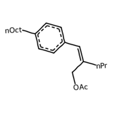 CCCCCCCCc1ccc(C=C(CCC)COC(C)=O)cc1